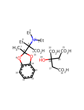 CCN(CC)C(CC)(C(=O)O)C1(C)Oc2ccccc2O1.O=C(O)CC(O)(CC(=O)O)C(=O)O